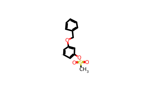 CS(=O)(=O)Oc1c[c]cc(OCc2ccccc2)c1